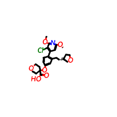 COc1cc(-c2ccc(OC3(C(=O)O)CCOCC3)cc2CC[C@@H]2CCOC2)c(Cl)c(OC)n1